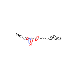 CCCCCCCC/C=C\CCCCCCCCOCCC(O)CNCOS(=O)(=O)O